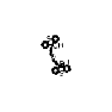 OC1(C#CCOCC#CC2(O)c3ccccc3Sc3ccccc32)c2ccccc2Sc2ccccc21